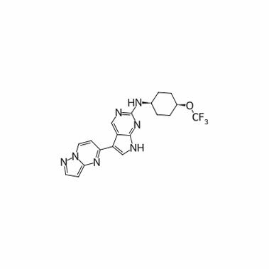 FC(F)(F)O[C@H]1CC[C@@H](Nc2ncc3c(-c4ccn5nccc5n4)c[nH]c3n2)CC1